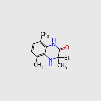 CCC1(C)Nc2c(C)ccc(C(F)(F)F)c2NC1=O